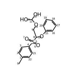 Cc1ccc(S(=O)(=O)C(COC(O)O)Oc2ccccc2)cc1